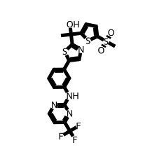 CC(O)(c1ccc(S(C)(=O)=O)s1)c1ncc(-c2cccc(Nc3nccc(C(F)(F)F)n3)c2)s1